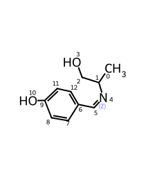 CC(CO)/N=C\c1ccc(O)cc1